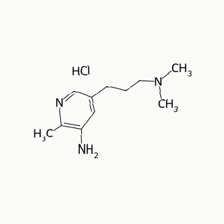 Cc1ncc(CCCN(C)C)cc1N.Cl